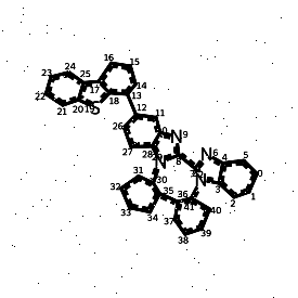 c1ccc2c(c1)nc1c3nc4cc(-c5cccc6c5sc5ccccc56)ccc4n3c3ccccc3c3ccccc3n21